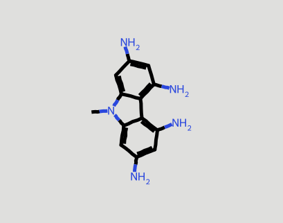 Cn1c2cc(N)cc(N)c2c2c(N)cc(N)cc21